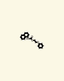 O=C(Nc1cccc2ccccc12)OCCOc1ccccc1